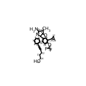 CN1C(=O)[C@@](c2cccc(C#CCCCO)c2)(c2ccc(OC(F)F)c(C3CC3)c2)N=C1N